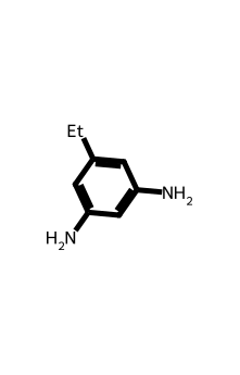 CCc1cc(N)cc(N)c1